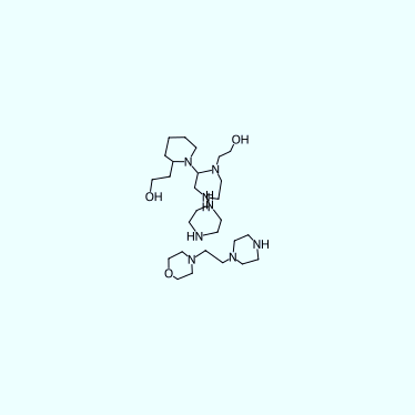 C1CN(CCN2CCOCC2)CCN1.C1CNCCN1.OCCC1CCCCN1C1CNCCN1CCO